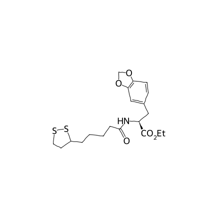 CCOC(=O)[C@H](Cc1ccc2c(c1)OCO2)NC(=O)CCCCC1CCSS1